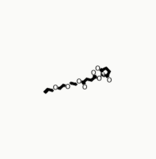 C=CCOCCOCCOC(=O)CCC(=O)ON1C(=O)CCC1=O